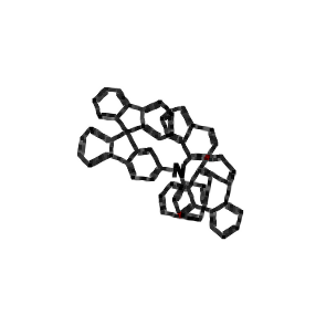 c1ccc2c(c1)-c1cccc3c1-c1cc(N(c4ccc5c(c4)C4(c6ccccc6-c6ccccc64)c4ccccc4-5)c4cccc5ccccc45)ccc1-c1cccc-3c1-2